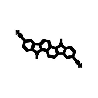 CN1c2c(ccc3c2ccc2c4cc(C#N)ccc4n(C)c32)C2C=C(C#N)C=CC21